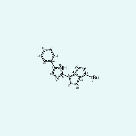 CC(C)(C)c1csc2c(-c3ncc(-c4ccccc4)[nH]3)csc12